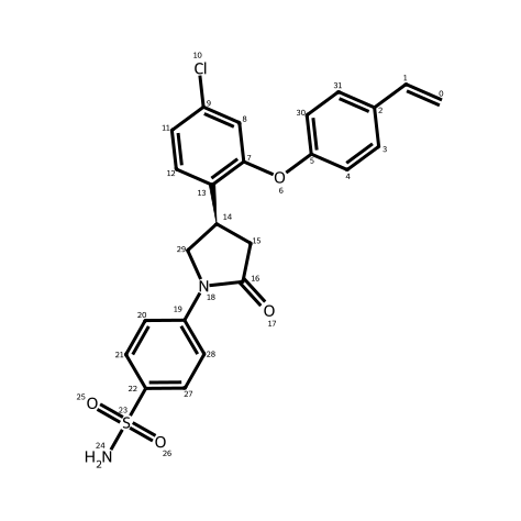 C=Cc1ccc(Oc2cc(Cl)ccc2[C@H]2CC(=O)N(c3ccc(S(N)(=O)=O)cc3)C2)cc1